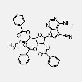 CC=C[C@@H](OC(=O)c1ccccc1)[C@H]1O[C@@H](n2cc(C#N)c3c(N)ncnc32)[C@H](OC(=O)c2ccccc2)[C@@H]1OC(=O)c1ccccc1